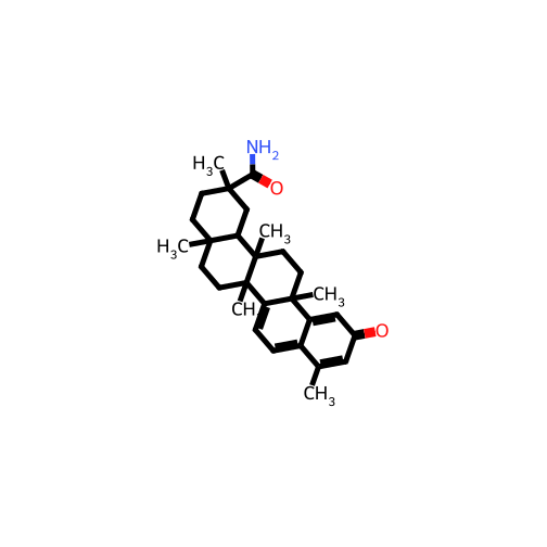 CC1=CC(=O)C=C2C1=CC=C1C2(C)CCC2(C)C3CC(C)(C(N)=O)CCC3(C)CCC12C